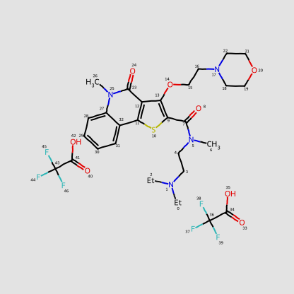 CCN(CC)CCN(C)C(=O)c1sc2c(c1OCCN1CCOCC1)c(=O)n(C)c1ccccc21.O=C(O)C(F)(F)F.O=C(O)C(F)(F)F